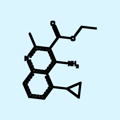 CCOC(=O)c1c(C)nc2cccc(C3CC3)c2c1N